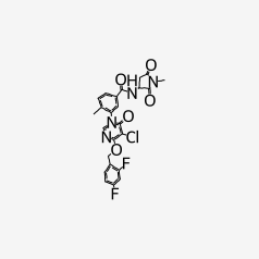 Cc1ccc(C(=O)N[C@H]2CC(=O)N(C)C2=O)cc1-n1cnc(OCc2ccc(F)cc2F)c(Cl)c1=O